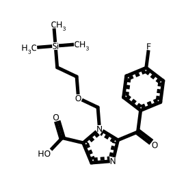 C[Si](C)(C)CCOCn1c(C(=O)O)cnc1C(=O)c1ccc(F)cc1